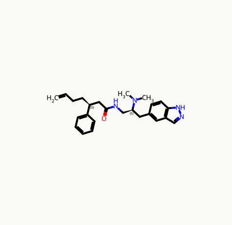 C=CCC[C@@H](CC(=O)NC[C@H](Cc1ccc2[nH]ncc2c1)N(C)C)c1ccccc1